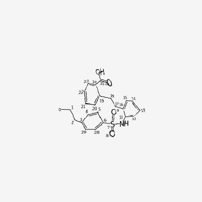 CCCc1ccc(S(=O)(=O)Nc2ccccc2CCc2ccccc2C(=O)O)cc1